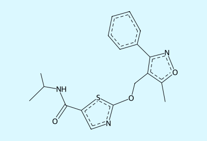 Cc1onc(-c2ccccc2)c1COc1ncc(C(=O)NC(C)C)s1